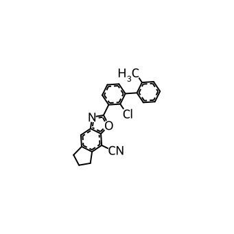 Cc1ccccc1-c1cccc(-c2nc3cc4c(c(C#N)c3o2)CCC4)c1Cl